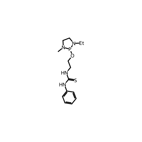 CCN1CCN(C)P1OCCNC(=S)Nc1ccccc1